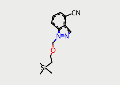 C[Si](C)(C)CCOCn1ncc2c(C#N)cccc21